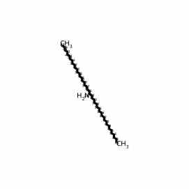 CCCCCCCCCCCCCCCCCCCCCCCC(N)CCCCCCCCCCCCCCCCCCCCCCC